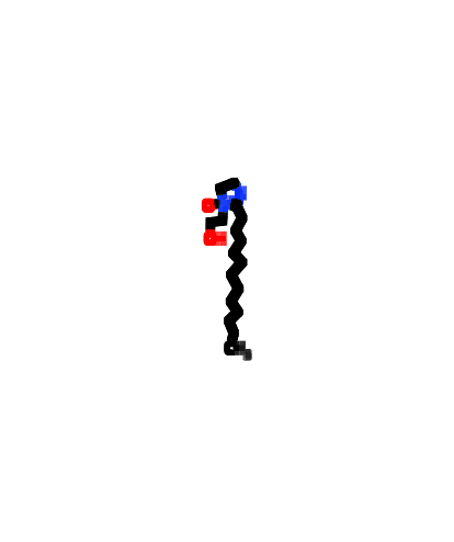 CCCCCCCCCCCCC1=NCC[N+]1([O-])CCO